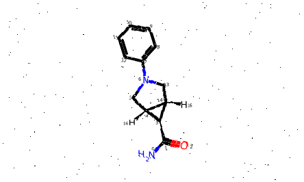 NC(=O)[C@H]1[C@@H]2CN(c3ccccc3)C[C@@H]21